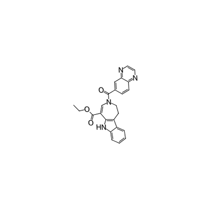 CCOC(=O)C1=CN(C(=O)c2ccc3nccnc3c2)CCc2c1[nH]c1ccccc21